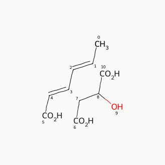 CC=CC=CC(=O)O.O=C(O)CC(O)C(=O)O